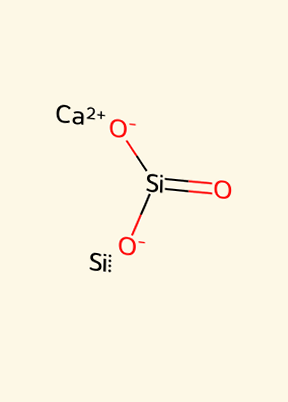 O=[Si]([O-])[O-].[Ca+2].[Si]